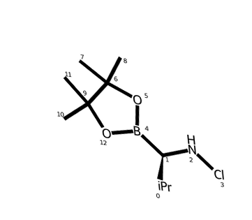 CC(C)[C@H](NCl)B1OC(C)(C)C(C)(C)O1